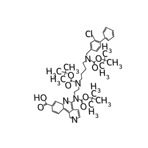 CC(C)(C)OC(=O)N(CCCCN(Cc1ccc(-c2ccccc2)c(Cl)c1)C(=O)OC(C)(C)C)CCN(C(=O)OC(C)(C)C)c1nc2cc(C(=O)O)ccc2c2cnccc12